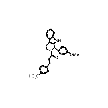 COc1ccc(C2c3[nH]c4ccccc4c3CCN2C(=O)C=Cc2ccc(C(=O)O)cc2)cc1